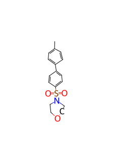 Cc1ccc(-c2ccc(S(=O)(=O)N3CCOCC3)cc2)cc1